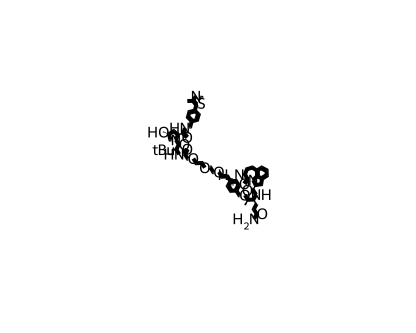 Cc1ncsc1-c1ccc(CNC(=O)[C@@H]2C[C@@H](O)CN2C(=O)[C@@H](NC(=O)COCCOCCOCCc2ccc(CO[C@H](C)[C@H](CCC(N)=O)NC(=O)[C@@H]3Cc4cccc5c4N3C(=O)[C@@H](N)CC5)cc2)C(C)(C)C)cc1